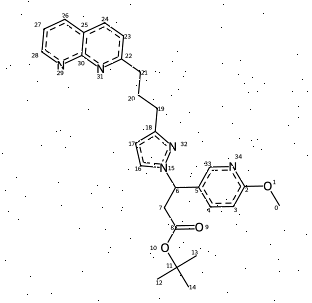 COc1ccc(C(CC(=O)OC(C)(C)C)n2ccc(CCCc3ccc4cccnc4n3)n2)cn1